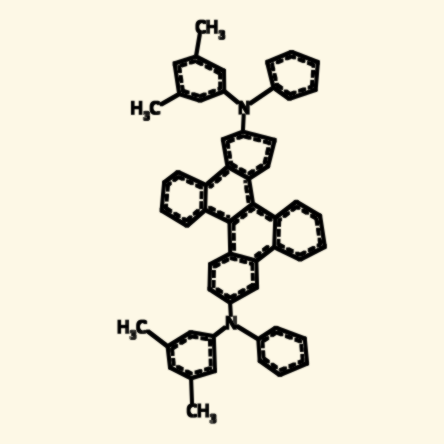 Cc1cc(C)cc(N(c2ccccc2)c2ccc3c(c2)c2ccccc2c2c4ccc(N(c5ccccc5)c5cc(C)cc(C)c5)cc4c4ccccc4c32)c1